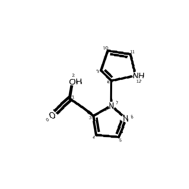 O=C(O)c1ccnn1-c1ccc[nH]1